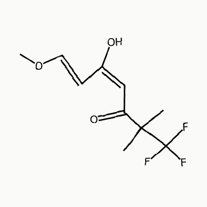 CO/C=C/C(O)=C\C(=O)C(C)(C)C(F)(F)F